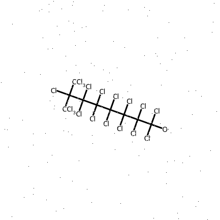 [O]C(Cl)(Cl)C(Cl)(Cl)C(Cl)(Cl)C(Cl)(Cl)C(Cl)(Cl)C(Cl)(Cl)C(Cl)(C(Cl)(Cl)Cl)C(Cl)(Cl)Cl